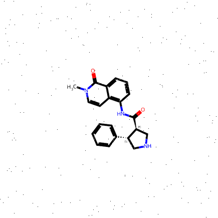 Cn1ccc2c(NC(=O)[C@H]3CNC[C@@H]3c3ccccc3)cccc2c1=O